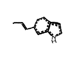 C/C=C/c1ccc2cc[nH]c2c1